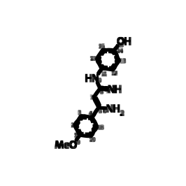 COc1ccc(/C(N)=C/C(=N)Nc2ccc(O)cc2)cc1